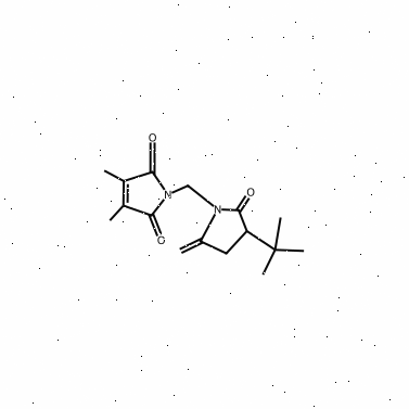 C=C1CC(C(C)(C)C)C(=O)N1CN1C(=O)C(C)=C(C)C1=O